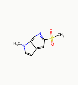 Cn1ccc2cc(S(C)(=O)=O)ncc21